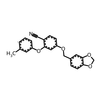 Cc1[c]ccc(Oc2cc(OCc3ccc4c(c3)OCO4)ccc2C#N)c1